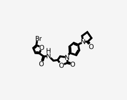 O=C(NCC1CN(c2ccc(N3CCCC3=O)cc2)C(=O)O1)c1ccc(Br)o1